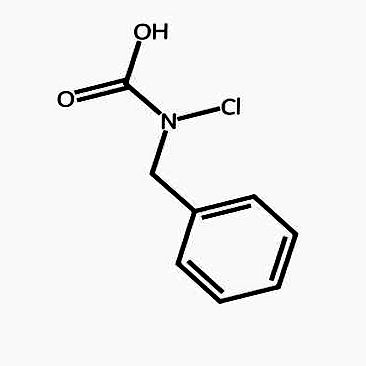 O=C(O)N(Cl)Cc1ccccc1